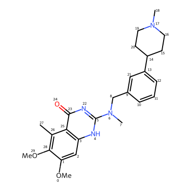 COc1cc2[nH]c(N(C)Cc3cccc(C4CCN(C)CC4)c3)nc(=O)c2c(C)c1OC